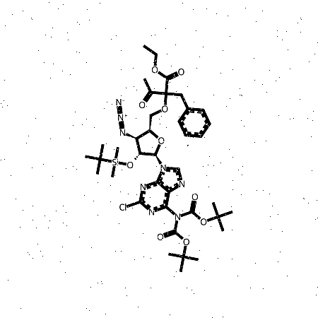 CCOC(=O)C(Cc1ccccc1)(OC[C@H]1O[C@@H](n2cnc3c(N(C(=O)OC(C)(C)C)C(=O)OC(C)(C)C)nc(Cl)nc32)[C@H](O[Si](C)(C)C(C)(C)C)[C@H]1N=[N+]=[N-])C(C)=O